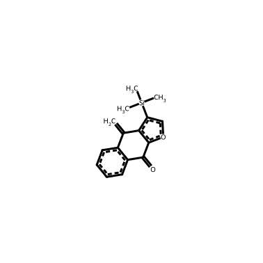 C=C1c2ccccc2C(=O)c2occ([Si](C)(C)C)c21